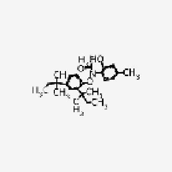 CCC(C)(C)c1ccc(ON(C(C)=O)c2ccc(C)cc2O)c(C(C)(C)CC)c1